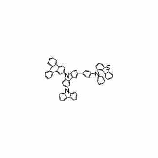 c1ccc(N(c2ccc(-c3ccc4c(c3)c3cc(-n5c6ccccc6c6ccccc65)ccc3n4-c3ccc4c5ccccc5c5ccccc5c4c3)cc2)c2cccc3sc4ccccc4c23)cc1